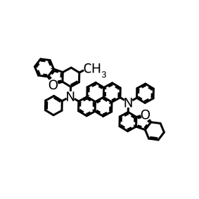 CC1C=C(N(C2=CC=CCC2)c2ccc3ccc4c(N(c5ccccc5)c5cccc6c7c(oc56)CCC=C7)ccc5ccc2c3c54)c2oc3ccccc3c2C1